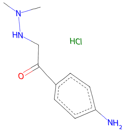 CN(C)NCC(=O)c1ccc(N)cc1.Cl